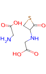 NCC(=O)O.O=C(O)CNC1CSC1=O